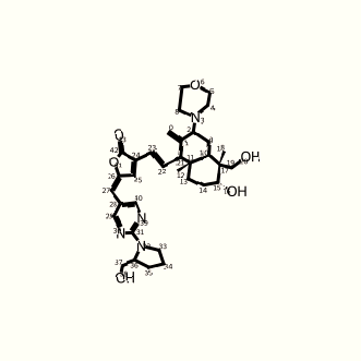 C=C1C(N2CCOCC2)CC2[C@](C)(CC[C@@H](O)[C@@]2(C)CO)C1/C=C/C1=CC(=C\c2cnc(N3CCCC3CO)nc2)/OC1=O